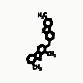 Cc1ccc2c(c1)sc1cc(Cc3ccc4c(sc5c(C)cccc54)c3C)ccc12